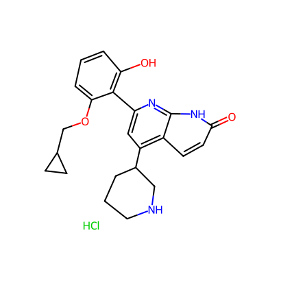 Cl.O=c1ccc2c(C3CCCNC3)cc(-c3c(O)cccc3OCC3CC3)nc2[nH]1